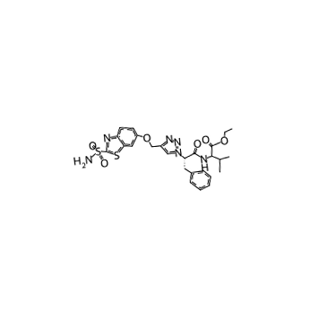 CCOC(=O)C(NC(=O)[C@H](Cc1ccccc1)n1cc(COc2ccc3nc(S(N)(=O)=O)sc3c2)nn1)C(C)C